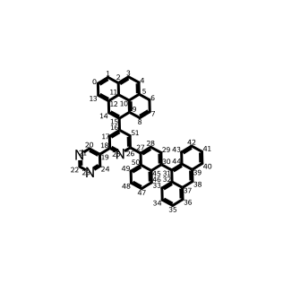 C1=CC2=CC=C3CC=CC4=C3C2C(=C1)C=C4c1cc(-c2cncnc2)nc(-c2ccc(-c3c4ccccc4cc4ccccc34)c3ccccc23)c1